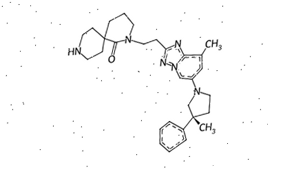 Cc1cc(N2CC[C@](C)(c3ccccc3)C2)cn2nc(CCN3CCCC4(CCNCC4)C3=O)nc12